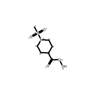 CS(=O)(=O)N1CCC(C(=O)OO)CC1